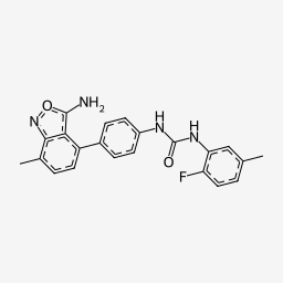 Cc1ccc(F)c(NC(=O)Nc2ccc(-c3ccc(C)c4noc(N)c34)cc2)c1